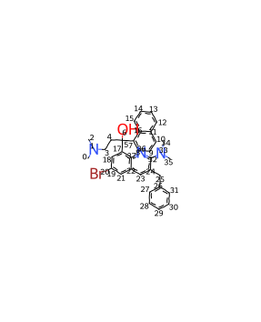 CN(C)CCC(O)(c1cccc2ccccc12)c1cc(Br)cc2cc(Cc3ccccc3)c(N(C)C)nc12